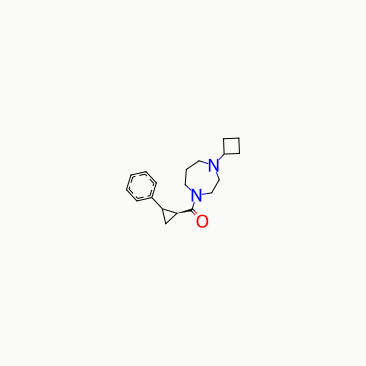 O=C([C@H]1CC1c1ccccc1)N1CCCN(C2CCC2)CC1